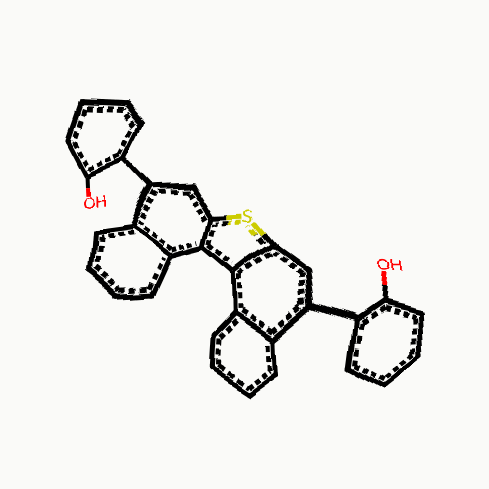 Oc1ccccc1-c1cc2sc3cc(-c4ccccc4O)c4ccccc4c3c2c2ccccc12